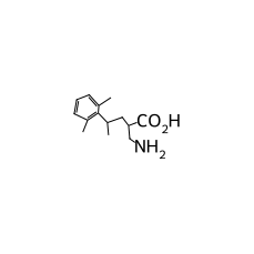 Cc1cccc(C)c1C(C)CC(CN)C(=O)O